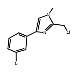 Cn1cc(-c2cccc(Cl)c2)nc1CCl